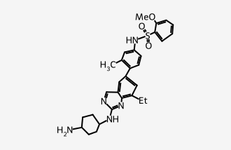 CCc1cc(-c2ccc(NS(=O)(=O)c3ccccc3OC)cc2C)cc2cnc(NC3CCC(N)CC3)nc12